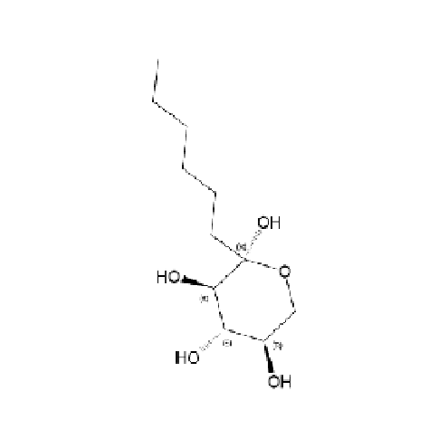 CCCCCC[C@@]1(O)OC[C@@H](O)[C@H](O)[C@H]1O